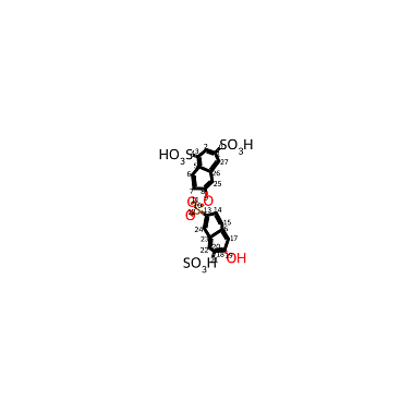 O=S(=O)(O)c1cc(S(=O)(=O)O)c2ccc(OS(=O)(=O)c3ccc4cc(O)c(S(=O)(=O)O)cc4c3)cc2c1